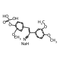 COc1ccc(C(C#N)=Cc2ccc(OP(=O)(O)O)c(OC)c2)cc1OC.[NaH]